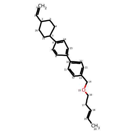 C=CC1CCC(c2ccc(-c3ccc(COCCC=CC)cc3)cc2)CC1